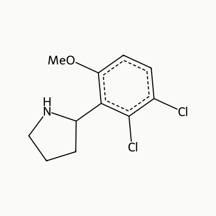 COc1ccc(Cl)c(Cl)c1C1CCCN1